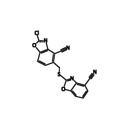 N#Cc1cccc2oc(SCc3ccc4oc(Cl)nc4c3C#N)nc12